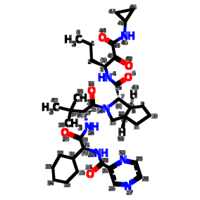 CCC[C@H](NC(=O)[C@@H]1[C@H]2CCC[C@@H]2CN1C(=O)[C@H](NC(=O)[C@@H](NC(=O)c1cnccn1)C1CCCCC1)C(C)(C)C)C(=O)C(=O)NC1CC1